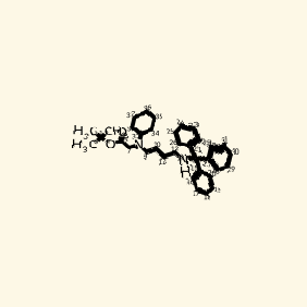 CC(C)(C)OC(=O)CN(CCCCNC(c1ccccc1)(c1ccccc1)c1ccccc1)C1CCCCC1